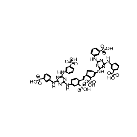 O=S(=O)(O)c1cccc(Nc2nc(Nc3cccc(S(=O)(=O)O)c3)nc(Nc3ccc(C=Cc4ccc(Nc5nc(Nc6cccc(S(=O)(=O)O)c6)nc(Nc6cccc(S(=O)(=O)O)c6)n5)cc4S(=O)(=O)O)c(S(=O)(=O)O)c3)n2)c1